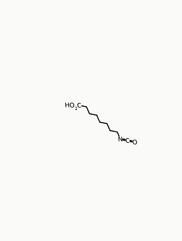 O=C=NCCCCCCCC(=O)O